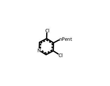 CCCCCc1c(Cl)cncc1Cl